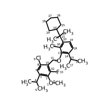 COc1c(C(C)C)cc(Cl)c(COc2c(C(C)C)ccc(C(C)(C)C3CCCCC3)c2C)c1F